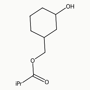 CC(C)C(=O)OCC1CCCC(O)C1